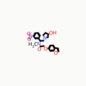 CN(C(=O)COc1ccc2ccoc2c1)C(CN1CC[C@H](O)C1)c1cccc([N+](=O)[O-])c1